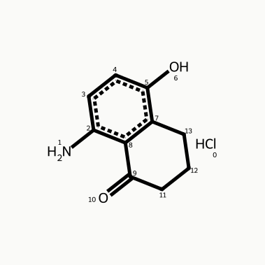 Cl.Nc1ccc(O)c2c1C(=O)CCC2